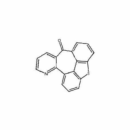 O=c1c2cccnc2c2cccc3sc4cccc1c4c32